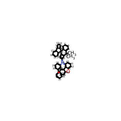 CC1(C)c2ccccc2C2(c3ccccc3-c3ccccc32)c2ccc(N(c3cccc(-c4ccccc4)c3)c3cccc4oc5ccccc5c34)cc21